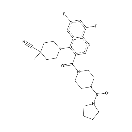 CC1(C#N)CCN(c2c(C(=O)N3CCN([S+]([O-])N4CCCC4)CC3)cnc3c(F)cc(F)cc23)CC1